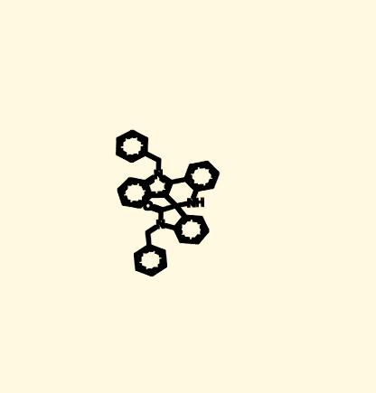 O=C1N(Cc2ccccc2)c2ccccc2C12Nc1ccccc1-c1c2c2ccccc2n1Cc1ccccc1